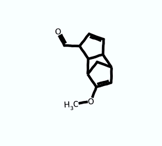 COC1=CC2CC1C1C(C=O)C=CC21